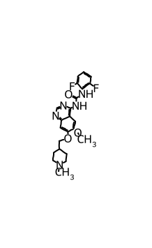 COc1cc2c(NC(=O)Nc3c(F)cccc3F)ncnc2cc1OCC1CCN(C)CC1